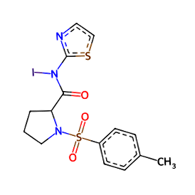 Cc1ccc(S(=O)(=O)N2CCCC2C(=O)N(I)c2nccs2)cc1